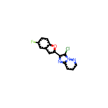 Fc1ccc2oc(-c3nc4cccnn4c3Cl)cc2c1